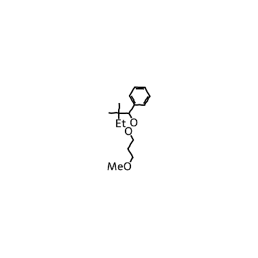 CCC(C)(C)C(OOCCCOC)c1ccccc1